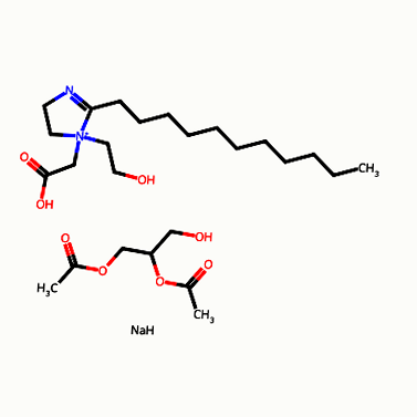 CC(=O)OCC(CO)OC(C)=O.CCCCCCCCCCCC1=NCC[N+]1(CCO)CC(=O)O.[NaH]